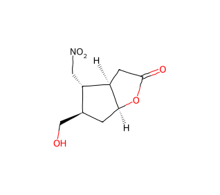 O=C1C[C@@H]2[C@@H](C[N+](=O)[O-])[C@H](CO)C[C@@H]2O1